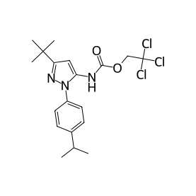 CC(C)c1ccc(-n2nc(C(C)(C)C)cc2NC(=O)OCC(Cl)(Cl)Cl)cc1